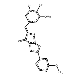 COc1cc(/C=c2\sc3nc(-c4cccc(OC(F)(F)F)c4)cn3c2=O)cc(Br)c1O